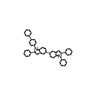 c1ccc(-c2ccc(-n3c(-c4ccccc4)cc4cc(-c5ccc6c(c5)cc(-c5ccccc5)n6-c5ccccc5)ccc43)cc2)cc1